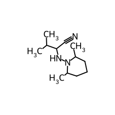 CC(C)C(C#N)NN1C(C)CCCC1C